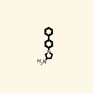 NC1CCN(c2ccc(-c3ccccc3)cc2)C1